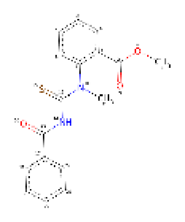 COC(=O)c1ccccc1N(C)C(=S)NC(=O)c1ccccc1